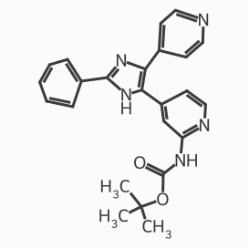 CC(C)(C)OC(=O)Nc1cc(-c2[nH]c(-c3ccccc3)nc2-c2ccncc2)ccn1